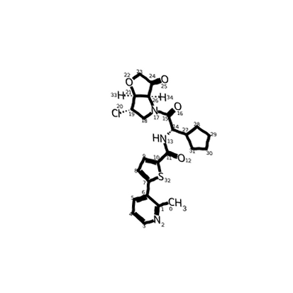 Cc1ncccc1-c1ccc(C(=O)N[C@H](C(=O)N2C[C@H](Cl)[C@H]3OCC(=O)[C@H]32)C2CCCC2)s1